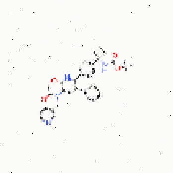 CC(C)(C)OC(=O)NC1(c2ccc(-c3nc4c(cc3-c3ccccc3)N(Cc3cccnc3)C(=O)CO4)cc2)CCC1